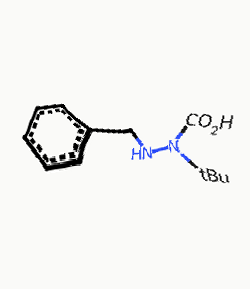 CC(C)(C)N(NCc1ccccc1)C(=O)O